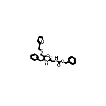 O=C(CNC(=O)OCc1ccccc1)NC(Cc1ccccc1)C(=O)CSCc1ccco1